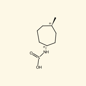 C[C@@H]1CCC[C@@H](NS(=O)O)CC1